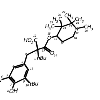 CCCCC(Cc1cc(C(C)(C)C)c(O)c(C(C)(C)C)c1)(C(=O)O)C(=O)OC1CCN(C)C(C)(C)C1(C)C